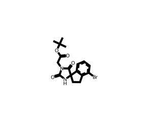 CC(C)(C)OC(=O)CN1C(=O)NC2(CCc3c(Br)cccc32)C1=O